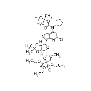 CCOC(=O)C(COC)(OC[C@H]1O[C@@H](n2ncc3c(N(C(=O)OC(C)(C)C)C4CCCC4)cc(Cl)nc32)[C@@H]2OC(C)(C)O[C@@H]21)P(=O)(OCC)OCC